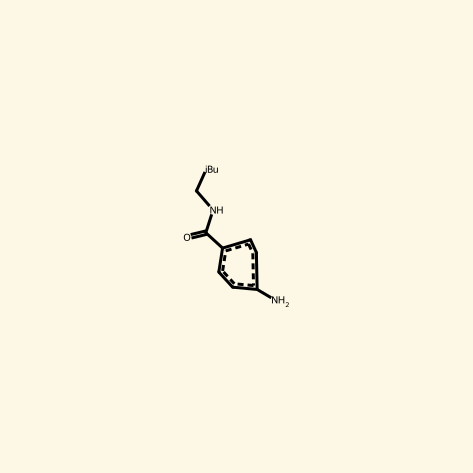 CCC(C)CNC(=O)c1ccc(N)cc1